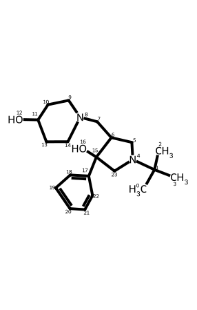 CC(C)(C)N1CC(CN2CCC(O)CC2)C(O)(c2ccccc2)C1